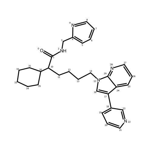 O=C(NCc1ccccn1)C(CCCCn1cc(-c2cccnc2)c2cccnc21)C1CCCCC1